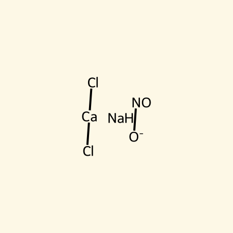 O=[NH+][O-].[Cl][Ca][Cl].[NaH]